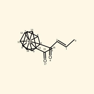 CC=CC(=O)[C]12[CH]3[CH]4[CH]5[CH]1[Fe]45321678[CH]2[CH]1[CH]6[C]7(C(C)=O)[CH]28